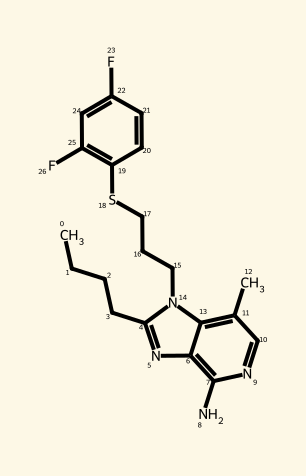 CCCCc1nc2c(N)ncc(C)c2n1CCCSc1ccc(F)cc1F